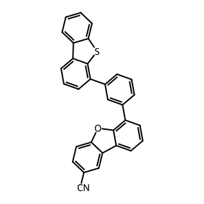 N#Cc1ccc2oc3c(-c4cccc(-c5cccc6c5sc5ccccc56)c4)cccc3c2c1